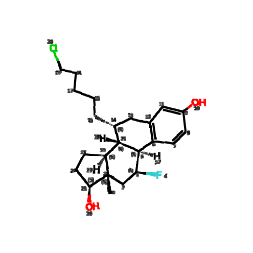 C[C@]12C[C@H](F)[C@@H]3c4ccc(O)cc4C[C@@H](CCCCCCl)[C@H]3[C@@H]1CC[C@@H]2O